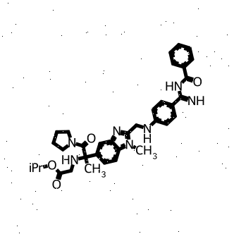 CC(C)OC(=O)CNC(C)(C(=O)N1CCCC1)c1ccc2c(c1)nc(CNc1ccc(C(=N)NC(=O)c3ccccc3)cc1)n2C